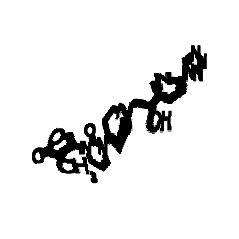 CC1=C(N2CCCN(C3CCN(CC(O)c4ccc(-n5cnnn5)nc4)CC3)C2=O)COC1=O